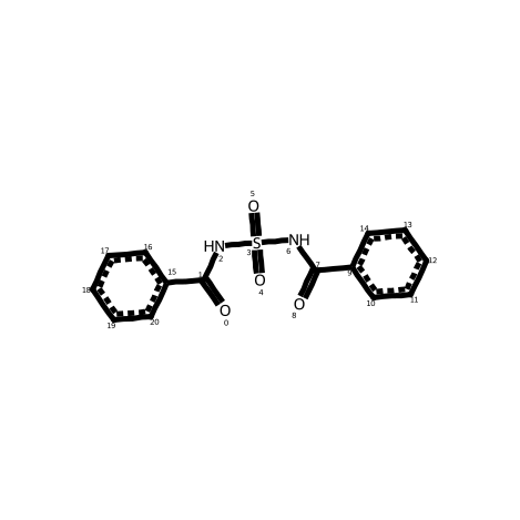 O=C(NS(=O)(=O)NC(=O)c1ccccc1)c1ccccc1